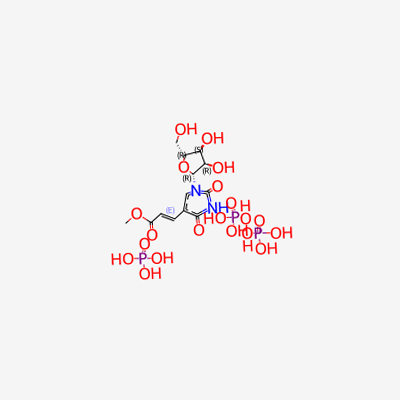 COC(=O)/C=C/c1cn([C@@H]2O[C@H](CO)[C@@H](O)[C@H]2O)c(=O)[nH]c1=O.O=P(O)(O)O.O=P(O)(O)O.O=P(O)(O)O